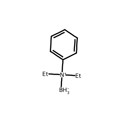 [BH3-][N+](CC)(CC)c1ccccc1